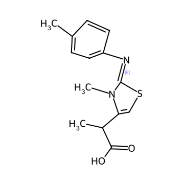 Cc1ccc(/N=c2/scc(C(C)C(=O)O)n2C)cc1